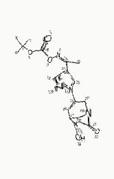 C/C(=N/OC(=O)OC(C)(C)C)c1cnn(C2=CC3CN(C2)C(=O)N3O)c1